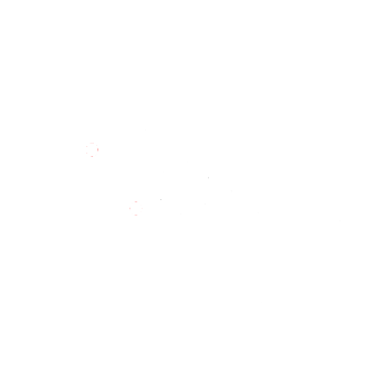 O=C1c2cc(-c3cccc4c3oc3ccccc34)ccc2C2(c3cc(-c4cccc(-c5ccccc5)c4)ccc31)c1ccccc1-c1ccccc12